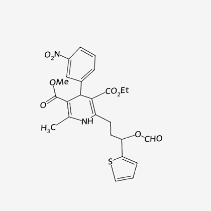 CCOC(=O)C1=C(CCC(OC=O)c2cccs2)NC(C)=C(C(=O)OC)C1c1cccc([N+](=O)[O-])c1